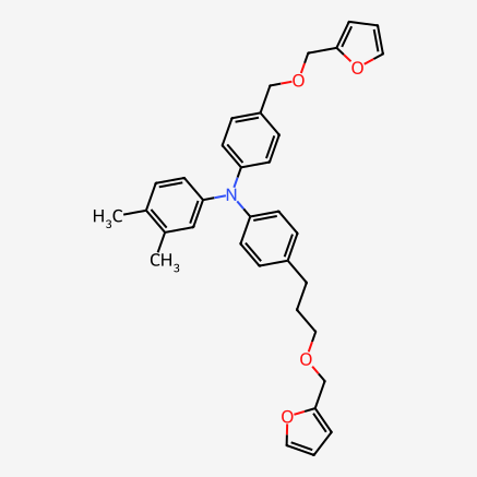 Cc1ccc(N(c2ccc(CCCOCc3ccco3)cc2)c2ccc(COCc3ccco3)cc2)cc1C